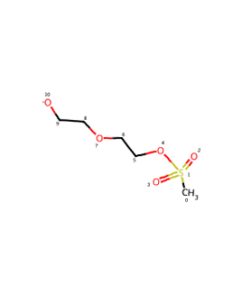 CS(=O)(=O)OCCOCC[O]